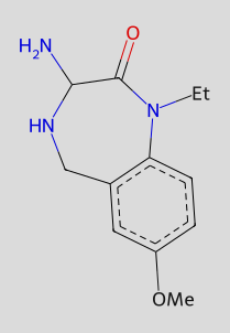 CCN1C(=O)C(N)NCc2cc(OC)ccc21